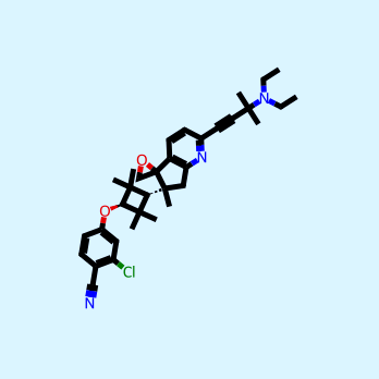 CCN(CC)C(C)(C)C#Cc1ccc2c(n1)CC(C)([C@H]1C(C)(C)[C@H](Oc3ccc(C#N)c(Cl)c3)C1(C)C)C21CO1